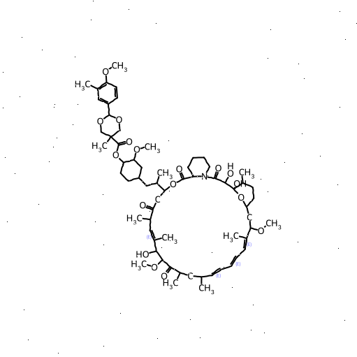 COc1ccc(C2OCC(C)(C(=O)OC3CCC(CC(C)C4CC(=O)C(C)/C=C(\C)C(O)C(OC)C(=O)C(C)CC(C)/C=C/C=C/C=C(\C)C(OC)CC5CCC(C)C(O)(O5)C(O)C(=O)N5CCCCC5C(=O)O4)CC3OC)CO2)cc1C